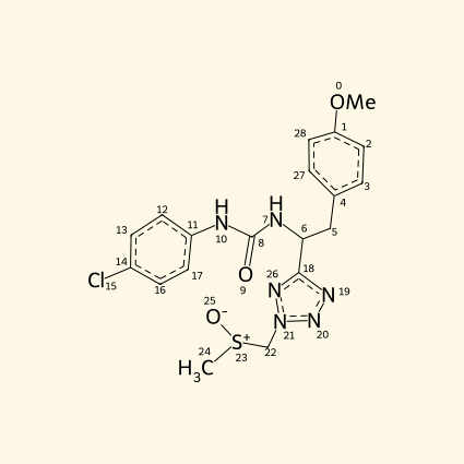 COc1ccc(CC(NC(=O)Nc2ccc(Cl)cc2)c2nnn(C[S+](C)[O-])n2)cc1